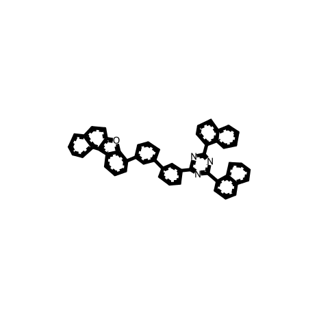 c1cc(-c2cccc(-c3cccc4c3oc3ccc5ccccc5c34)c2)cc(-c2nc(-c3cccc4ccccc34)nc(-c3cccc4ccccc34)n2)c1